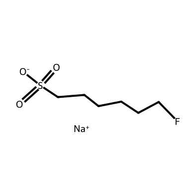 O=S(=O)([O-])CCCCCCF.[Na+]